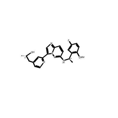 COc1ccc(F)cc1[C@@H](C)Nc1ccc2ncc(-c3cc(C[C@H](C)O)ccn3)n2n1